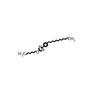 CCCCCCCCCCCCc1ccc(-c2ncc(OCCCCCCC)cn2)cc1